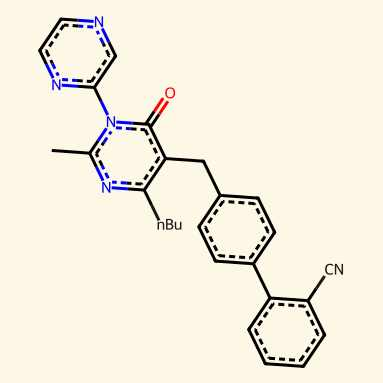 CCCCc1nc(C)n(-c2cnccn2)c(=O)c1Cc1ccc(-c2ccccc2C#N)cc1